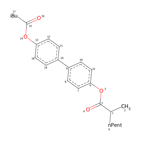 CCCCCC(C)C(=O)Oc1ccc(-c2ccc(OC(=O)C(C)CC)cc2)cc1